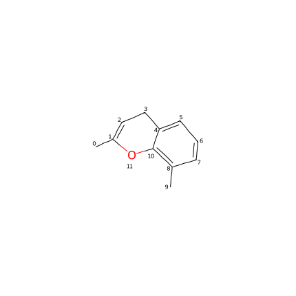 CC1=CCc2cccc(C)c2O1